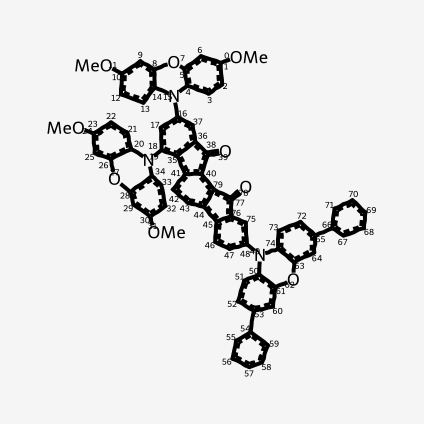 COc1ccc2c(c1)Oc1cc(OC)ccc1N2c1cc(N2c3ccc(OC)cc3Oc3cc(OC)ccc32)c2c(c1)c(=O)c1c2ccc2c3ccc(N4c5ccc(-c6ccccc6)cc5Oc5cc(-c6ccccc6)ccc54)cc3c(=O)c21